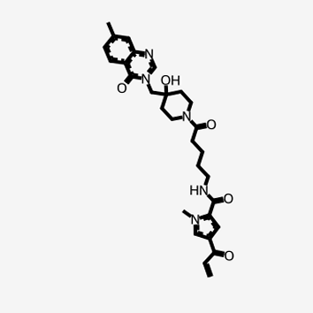 C=CC(=O)c1cc(C(=O)NCCCCC(=O)N2CCC(O)(Cn3cnc4cc(C)ccc4c3=O)CC2)n(C)c1